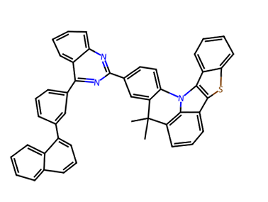 CC1(C)c2cc(-c3nc(-c4cccc(-c5cccc6ccccc56)c4)c4ccccc4n3)ccc2-n2c3c1cccc3c1sc3ccccc3c12